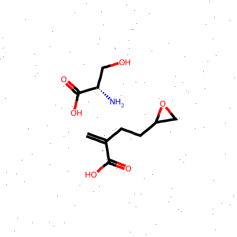 C=C(CCC1CO1)C(=O)O.N[C@@H](CO)C(=O)O